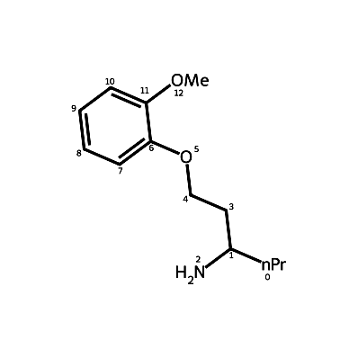 CCCC(N)CCOc1ccccc1OC